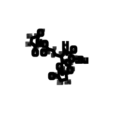 CC(C)(C)OC(=O)NC(CCC(=O)ON1C(=O)CCC1=O)C(=O)ON1C(=O)CCC1=O